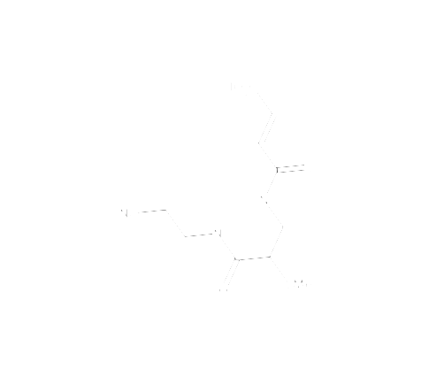 CSC(CNC(=O)C=CC(=O)O)C(=O)NCCC#N